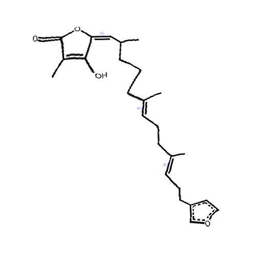 CC1=C(O)/C(=C\C(C)CCC/C(C)=C/CC/C(C)=C/CCc2ccoc2)OC1=O